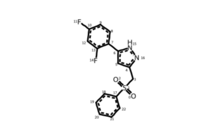 O=S(=O)(Cc1cc(-c2ccc(F)cc2F)[nH]n1)c1ccccc1